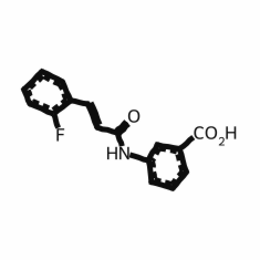 O=C(C=Cc1ccccc1F)Nc1cccc(C(=O)O)c1